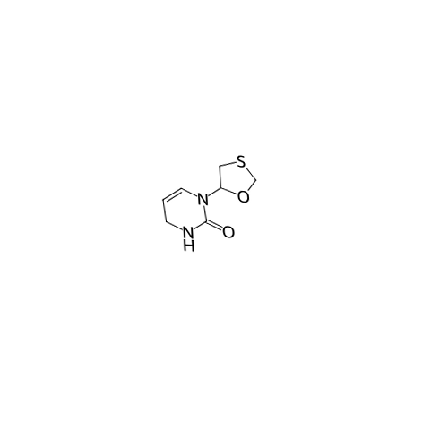 O=C1NCC=CN1C1CSCO1